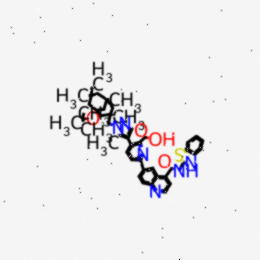 CCC1(C)CC2(C)CC(C)(Cn3ncc(-c4ccc(-c5ccc6nccc(C(=O)Nc7nc8ccccc8s7)c6c5)nc4C(=O)O)c3C)CC(OC(C)(C)C)(C1)C2